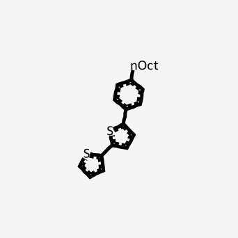 CCCCCCCCc1ccc(-c2ccc(-c3cccs3)s2)cc1